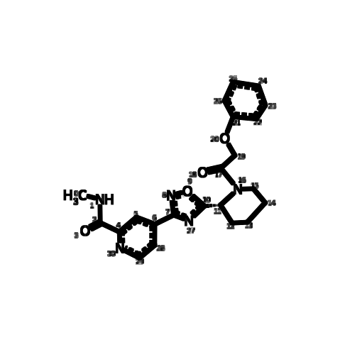 CNC(=O)c1cc(-c2noc([C@H]3CCCCN3C(=O)COc3ccccc3)n2)ccn1